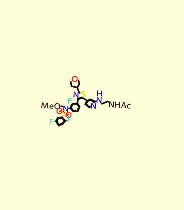 COCN(c1cccc(-c2nc(C3CCOCC3)sc2-c2ccnc(NCCNC(C)=O)c2)c1F)S(=O)(=O)c1cc(F)ccc1F